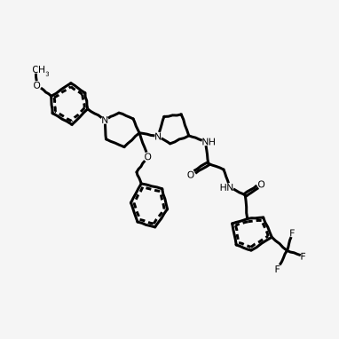 COc1ccc(N2CCC(OCc3ccccc3)(N3CCC(NC(=O)CNC(=O)c4cccc(C(F)(F)F)c4)C3)CC2)cc1